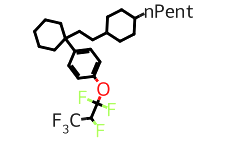 CCCCCC1CCC(CCC2(c3ccc(OC(F)(F)C(F)C(F)(F)F)cc3)CCCCC2)CC1